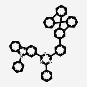 c1ccc(-c2nc(-c3cccc(-c4ccc5c(c4)-c4ccccc4C54c5ccccc5-c5ccccc54)c3)nc(-c3ccc4c5ccccc5n(-c5ccccc5)c4c3)n2)cc1